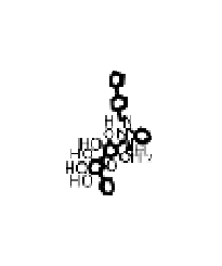 C=N/C(=N\C(=N/Cc1ccc(-c2ccccc2)cc1)c1ccccc1)c1c(O)c(O)c2c(oc3c(-c4ccccc4)c(O)c(O)c(O)c32)c1O